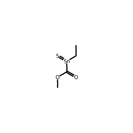 C[CH2][Sn](=[S])[C](=O)OC